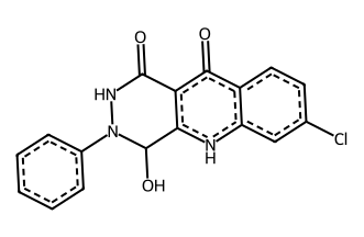 O=C1NN(c2ccccc2)C(O)c2[nH]c3cc(Cl)ccc3c(=O)c21